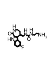 NCCNC(=O)N/C=C1\CCNC(=O)c2[nH]c3ccc(F)cc3c21